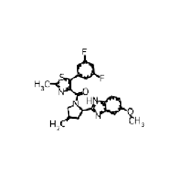 C=C1CC(c2nc3cc(OC)ccc3[nH]2)N(C(=O)c2nc(C)sc2-c2cc(F)cc(F)c2)C1